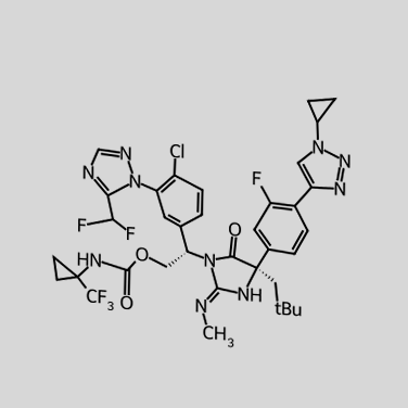 C/N=C1\N[C@](CC(C)(C)C)(c2ccc(-c3cn(C4CC4)nn3)c(F)c2)C(=O)N1[C@H](COC(=O)NC1(C(F)(F)F)CC1)c1ccc(Cl)c(-n2ncnc2C(F)F)c1